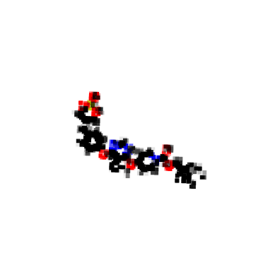 Cc1c(Oc2ccc(C[C@H]3CO[S@](=O)OC3)cc2)ncnc1OC1CCN(C(=O)OCC(C)C)CC1